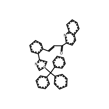 O=C(C=Cc1ccccc1-c1cn(C(c2ccccc2)(c2ccccc2)c2ccccc2)cn1)c1ccc2ccccc2n1